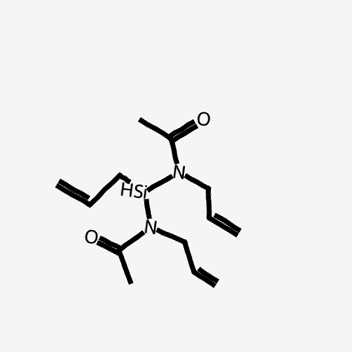 C=CCN(C(C)=O)[SiH](CC=C)N(CC=C)C(C)=O